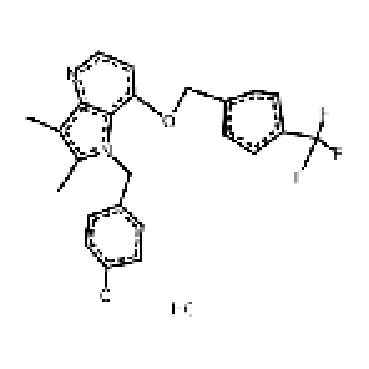 Cc1c(C)n(Cc2ccc(Cl)cc2)c2c(OCc3ccc(C(F)(F)F)cc3)ccnc12.Cl